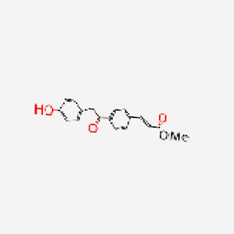 COC(=O)/C=C/c1ccc(C(=O)Cc2ccc(O)cc2)cc1